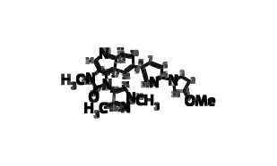 COC1CCN(c2ccc(-c3ccc4ncc5c(c4c3)n(-c3cn(C)nc3C)c(=O)n5C)cn2)C1